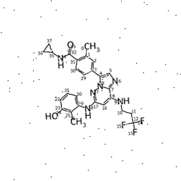 Cc1cc(-c2cnc3c(NCCC(F)(F)F)cc(Nc4cccc(O)c4C)nn23)ccc1C(=O)NC1CC1